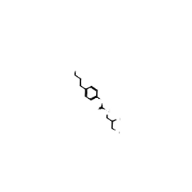 CCCCc1ccc(SC(=O)NCC(Br)CBr)cc1